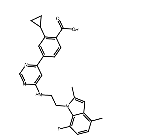 Cc1ccc(F)c2c1cc(C)n2CCNc1cc(-c2ccc(C(=O)O)c(C3CC3)c2)ncn1